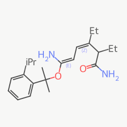 CC/C(=C/C=C(\N)OC(C)(C)c1ccccc1C(C)C)C(CC)C(N)=O